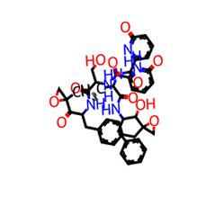 CC(NC(=O)c1cccc(=O)[nH]1)C(=O)NC(Cc1ccccc1)C(O)C1(Cc2ccc(CC(NC(=O)C(CO)NC(=O)c3cccc(=O)[nH]3)C(=O)C3(C)CO3)cc2)CO1